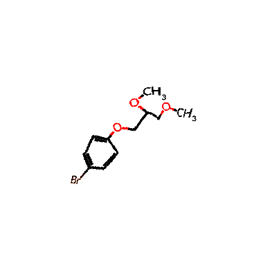 COCC(COc1ccc(Br)cc1)OC